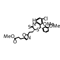 COC(=O)CCc1cnc(CC[C@@H]2S[C@@H](c3cccc(OC)c3OC)c3cc(Cl)ccc3NC2=S)o1